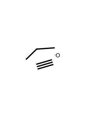 C#C.CCC.[O]